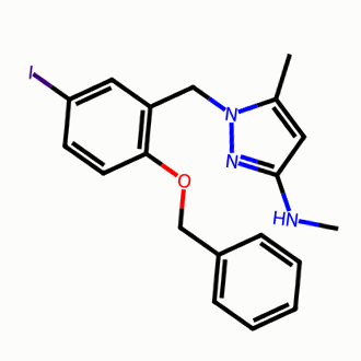 CNc1cc(C)n(Cc2cc(I)ccc2OCc2ccccc2)n1